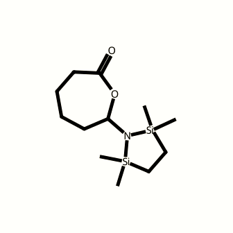 C[Si]1(C)CC[Si](C)(C)N1C1CCCCC(=O)O1